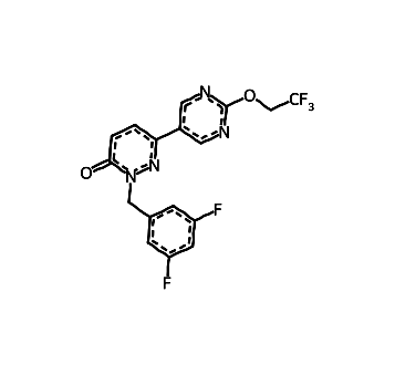 O=c1ccc(-c2cnc(OCC(F)(F)F)nc2)nn1Cc1cc(F)cc(F)c1